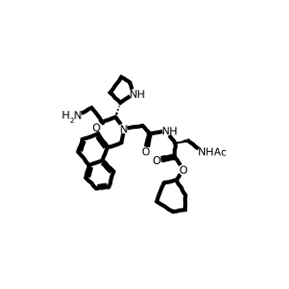 CC(=O)NC[C@H](NC(=O)CN(Cc1cccc2ccccc12)C(C(=O)CN)[C@@H]1CCCN1)C(=O)OC1CCCCC1